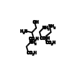 NC(CO)C(=O)O.NCC(=O)O.NCC(=O)O.NCCC(=O)O